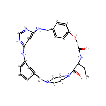 CC(C)CC1NC(=O)COc2ccc(cc2)Nc2cc(ncn2)Nc2cccc(c2)CN2CCN(CC2)C1=O